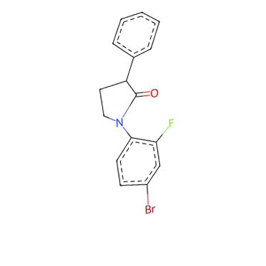 O=C1C(c2ccccc2)CCN1c1ccc(Br)cc1F